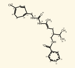 C/C(=C\CC(CNC(=O)c1ccncc1)C(C)C)NC(=O)NCC1=CCC=C(Cl)C=C1